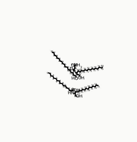 CCCCCCCCCCCCCCCC(=O)NC(CO)C(O)CCCCCCCCCCCCC.CCCCCCCCCCCCCCCC(CCO)N(C(=O)CC(N)=O)C(CCO)CCCCCCCCCCCCCCC